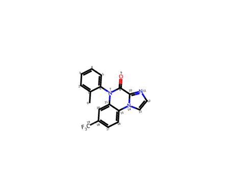 Cc1ccccc1-n1c(=O)c2nccn2c2ccc(C(F)(F)F)cc21